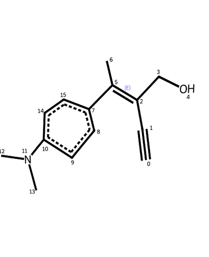 C#C/C(CO)=C(/C)c1ccc(N(C)C)cc1